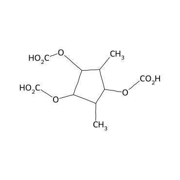 CC1C(OC(=O)O)C(C)C(OC(=O)O)C1OC(=O)O